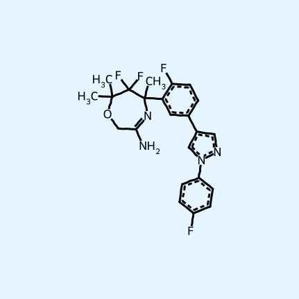 CC1(C)OCC(N)=NC(C)(c2cc(-c3cnn(-c4ccc(F)cc4)c3)ccc2F)C1(F)F